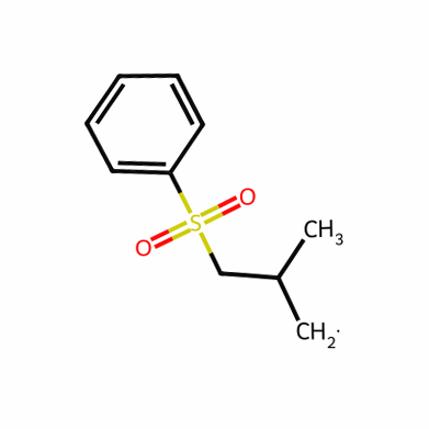 [CH2]C(C)CS(=O)(=O)c1ccccc1